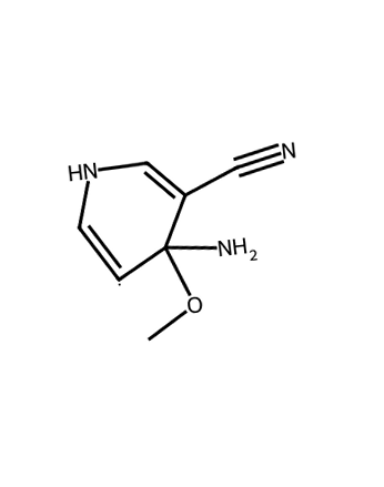 COC1(N)[C]=CNC=C1C#N